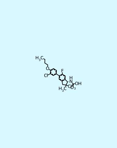 CCCCOc1ccc(-c2cc3c(cc2F)[C@H](NC(=O)O)C(C)(C)C3)cc1Cl